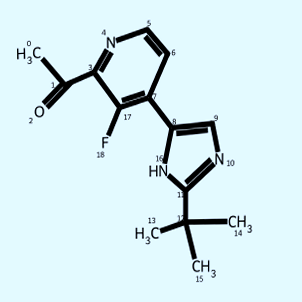 CC(=O)c1nccc(-c2cnc(C(C)(C)C)[nH]2)c1F